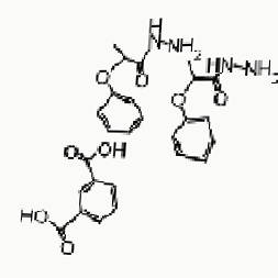 CC(Oc1ccccc1)C(=O)NN.CC(Oc1ccccc1)C(=O)NN.O=C(O)c1cccc(C(=O)O)c1